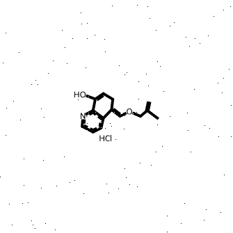 C=C(C)COC=C1CC=C(O)c2ncccc21.Cl